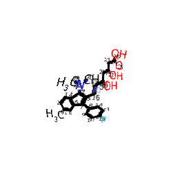 Cc1ccc2c(c1)C(c1ccc(F)cc1)=C(/C=C/[C@@H](O)C[C@@H](O)CC(=O)O)C2N(C)C